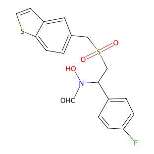 O=CN(O)C(CS(=O)(=O)Cc1ccc2sccc2c1)c1ccc(F)cc1